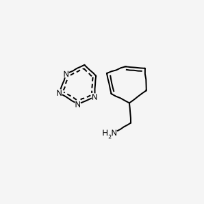 NCC1C=CC=CC1.c1cnnnn1